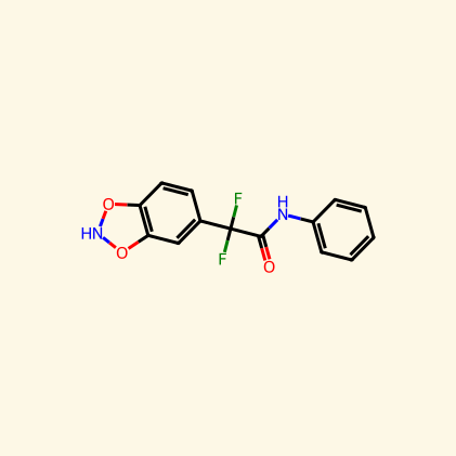 O=C(Nc1ccccc1)C(F)(F)c1ccc2c(c1)ONO2